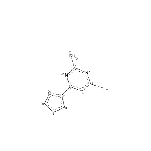 Nc1nc(I)cc(-c2ccco2)n1